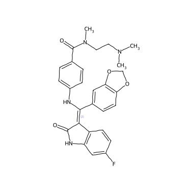 CN(C)CCN(C)C(=O)c1ccc(N/C(=C2\C(=O)Nc3cc(F)ccc32)c2ccc3c(c2)OCO3)cc1